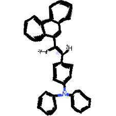 [2H]/C(=C(/[2H])c1cc2ccccc2c2ccccc12)c1ccc(N(c2ccccc2)c2ccccc2)cc1